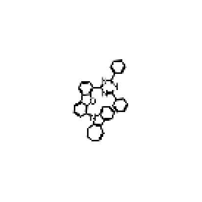 C1=Cc2c(n(-c3cccc4c3oc3c(-c5nc(-c6ccccc6)nc(-c6ccccc6)n5)cccc34)c3ccccc23)CCC1